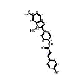 CC(C)c1ccc(/C=C/C(=O)Nc2ccc(-c3nc4ccc([N+](=O)[O-])cc4n3O)cc2)cc1